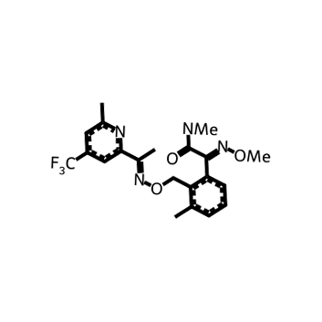 CNC(=O)/C(=N/OC)c1cccc(C)c1CO/N=C(\C)c1cc(C(F)(F)F)cc(C)n1